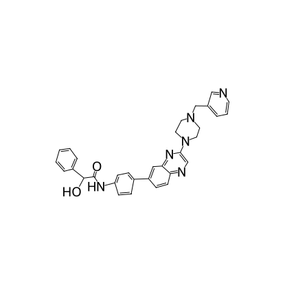 O=C(Nc1ccc(-c2ccc3ncc(N4CCN(Cc5cccnc5)CC4)nc3c2)cc1)C(O)c1ccccc1